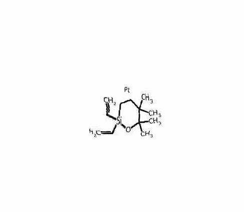 C=C[Si]1(C=C)CCC(C)(C)C(C)(C)O1.[Pt]